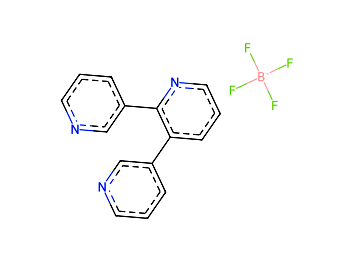 F[B-](F)(F)F.c1cncc(-c2cccnc2-c2cccnc2)c1